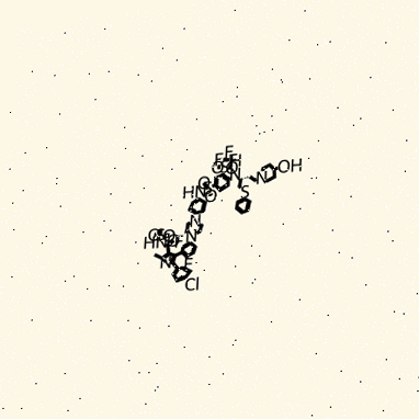 Cc1c(C(=O)NS(C)(=O)=O)c(-c2c(F)ccc(N3CCN(c4ccc(NS(=O)(=O)c5ccc(N[C@H](CCN6CCC(O)CC6)CSc6ccccc6)c(S(=O)(=O)C(F)(F)F)c5)cc4)CC3)c2F)c(-c2ccc(Cl)cc2)n1C